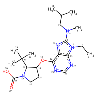 CCn1c(N(C)CC(C)C)nc2c(OC3CCN(C(=O)O)C3C(C)(C)C)ncnc21